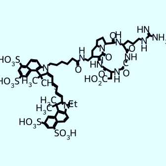 CC[N+]1=C(/C=C/C=C/C=C2/N(CCCCCC(=O)NCC3CC4CCC5C(=O)NC(CCCNC(=N)N)C(=O)NCC(=O)NC(CC(=O)O)C(=O)N[C@H]3C(=O)N45)c3ccc4c(S(=O)(=O)O)cc(S(=O)(=O)O)cc4c3C2(C)C)C(C)(C)c2c1ccc1c(S(=O)(=O)O)cc(S(=O)(=O)O)cc21